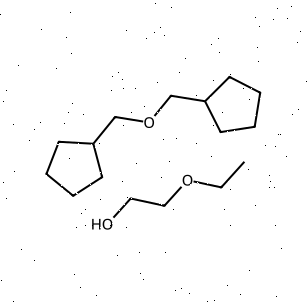 C1CCC(COCC2CCCC2)C1.CCOCCO